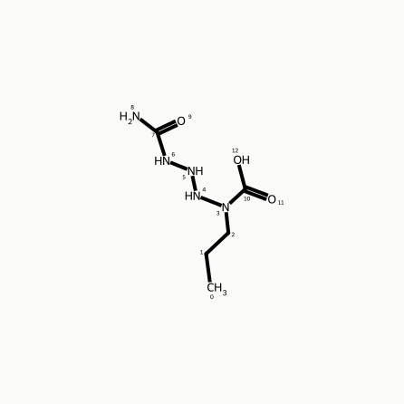 CCCN(NNNC(N)=O)C(=O)O